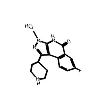 Cl.Cn1nc(C2CCNCC2)c2c3ccc(F)cc3c(=O)[nH]c21